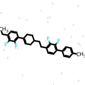 CCc1ccc(C2=CCC(CCc3ccc(-c4ccc(C)cc4)c(F)c3F)CC2)c(F)c1F